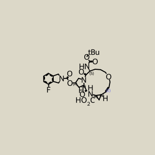 CC(C)(C)OC(=O)N[C@H]1CCCOC/C=C\[C@@H]2C[C@@]2(C(=O)O)NC(=O)[C@@H]2C[C@@H](OC(=O)N3Cc4cccc(F)c4C3)CN2C1=O